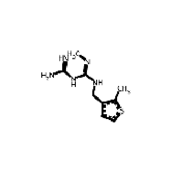 C/N=C(/NCc1ccsc1C)NC(=N)N